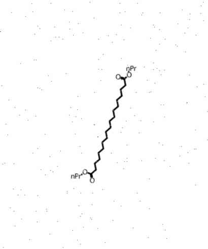 CCCOC(=O)CCCCCCCCCCCCCCCCCC(=O)OCCC